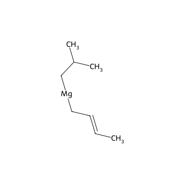 C/C=C/[CH2][Mg][CH2]C(C)C